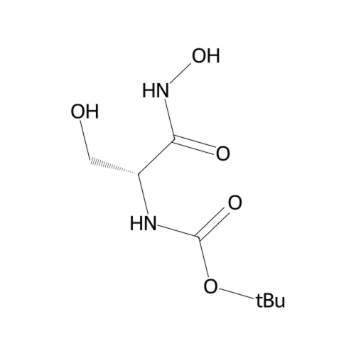 CC(C)(C)OC(=O)N[C@H](CO)C(=O)NO